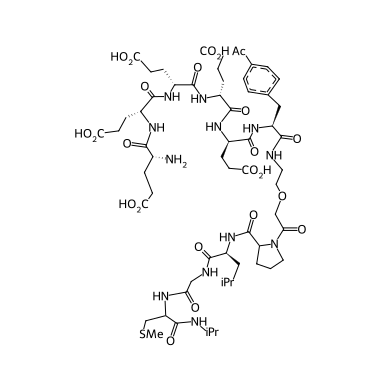 CSCC(NC(=O)CNC(=O)[C@H](CC(C)C)NC(=O)C1CCCN1C(=O)COCCNC(=O)[C@H](Cc1ccc(C(C)=O)cc1)NC(=O)[C@@H](CCC(=O)O)NC(=O)[C@@H](CCC(=O)O)NC(=O)[C@@H](CCC(=O)O)NC(=O)[C@@H](CCC(=O)O)NC(=O)[C@H](N)CCC(=O)O)C(=O)NC(C)C